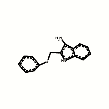 Nc1c(CSc2ccccc2)[nH]c2ccccc12